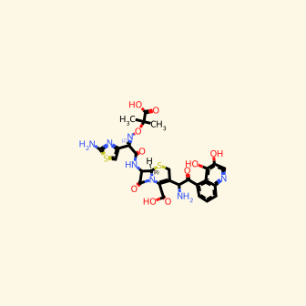 CC(C)(O/N=C(\C(=O)NC1C(=O)N2C(C(=O)O)=C(C(N)C(=O)c3cccc4ncc(O)c(O)c34)CS[C@H]12)c1csc(N)n1)C(=O)O